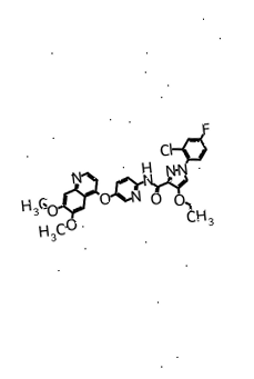 CCOc1cn(-c2ccc(F)cc2Cl)nc1C(=O)Nc1ccc(Oc2ccnc3cc(OC)c(OC)cc23)cn1